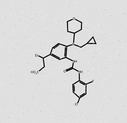 CCC(CC(=O)O)c1ccc(N(CC2CC2)C2CCOCC2)c(NC(=O)Nc2ccc(Cl)cc2F)c1